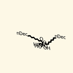 CCCCCCCCCCCCCCCCCC(=O)OC(C(=O)CCCCCCCCCCCCCCCCC)C(CO)(CO)CO